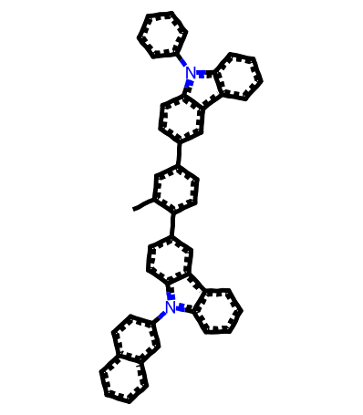 Cc1cc(-c2ccc3c(c2)c2ccccc2n3-c2ccccc2)ccc1-c1ccc2c(c1)c1ccccc1n2-c1ccc2ccccc2c1